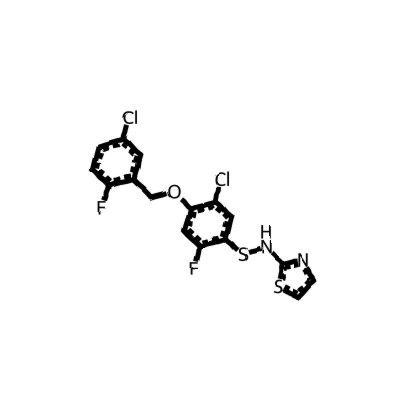 Fc1ccc(Cl)cc1COc1cc(F)c(SNc2nccs2)cc1Cl